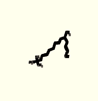 CC(CC=CCCC=CCC(C)(C)N)CC=NO